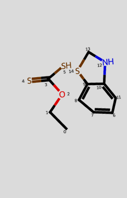 CCOC(=S)S.c1ccc2c(c1)NCS2